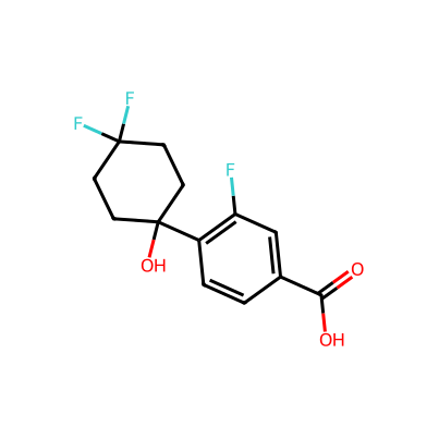 O=C(O)c1ccc(C2(O)CCC(F)(F)CC2)c(F)c1